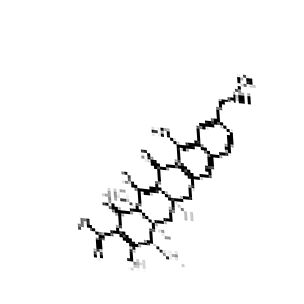 CC(C)(C)NCc1ccc2cc3c(c(O)c2c1)C(=O)C1=C(O)[C@]2(O)C(=O)C(C(N)=O)=C(O)[C@@H](N)[C@@H]2C[C@@H]1C3